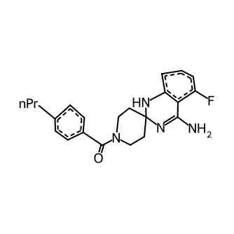 CCCc1ccc(C(=O)N2CCC3(CC2)N=C(N)c2c(F)cccc2N3)cc1